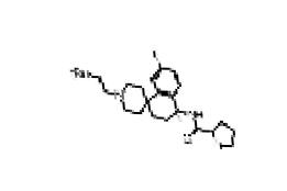 CC(C)(C)CCN1CCC2(CC[C@H](NC(=O)C3CCCO3)c3ccc(F)cc32)CC1